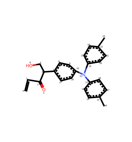 C=CC(=O)C(CO)c1ccc(N(c2ccc(C)cc2)c2ccc(C)cc2)cc1